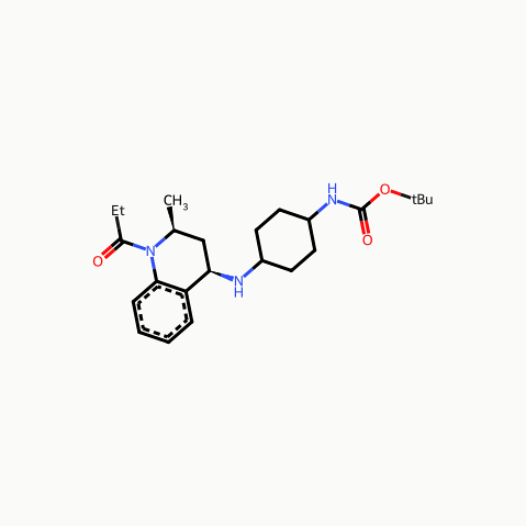 CCC(=O)N1c2ccccc2[C@H](NC2CCC(NC(=O)OC(C)(C)C)CC2)C[C@@H]1C